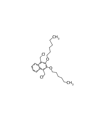 CCCCCCOc1c(OCCCCCC)c(CCl)c2ccccc2c1CCl